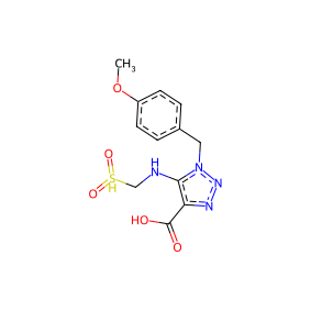 COc1ccc(Cn2nnc(C(=O)O)c2NC[SH](=O)=O)cc1